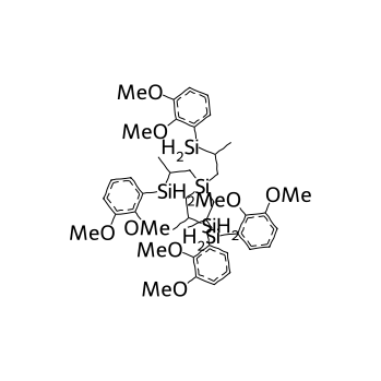 COc1cccc([SiH2]C(C)C[Si](CC(C)[SiH2]c2cccc(OC)c2OC)(CC(C)[SiH2]c2cccc(OC)c2OC)CC(C)[SiH2]c2cccc(OC)c2OC)c1OC